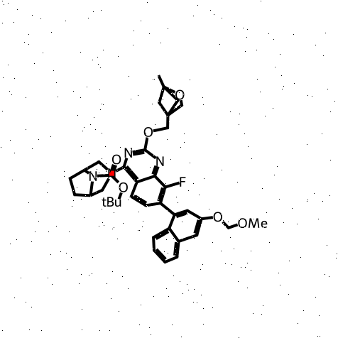 COCOc1cc(-c2ccc3c(N4CC5CCC(C4)N5C(=O)OC(C)(C)C)nc(OCC45COC(C)(C4)C5)nc3c2F)c2ccccc2c1